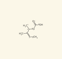 CC=C(C)C(C)OC(=O)O